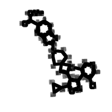 COC(=O)c1ccc2nc(N3CCC4(C=C(c5c(-c6c(Cl)cncc6Cl)noc5C5CC5)C4)CC3)sc2n1